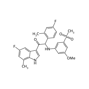 COc1cc(NC(C(=O)c2c[nH]c3c(C)cc(F)cc23)c2ccc(F)cc2C)cc(S(C)(=O)=O)c1